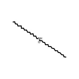 CCCCCCCCCCCCCCCCCNC(=O)CCCCCCCCCCCCCCCCC